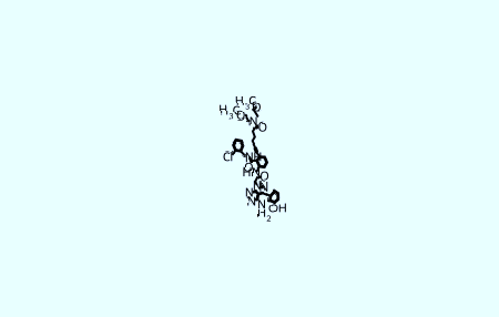 COCCN(CCOC)C(=O)CCCC#Cc1cccc(NC(=O)Cn2nc(-c3cccc(O)c3)c3c(N)ncnc32)c1C(=O)NCc1ccccc1Cl